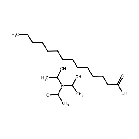 CC(O)N(C(C)O)C(C)O.CCCCCCCCCCCCCC(=O)O